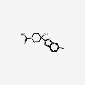 Cc1ccc2oc(C3(O)CCN(C(=O)O)CC3)nc2c1